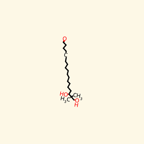 CC(C)(CO)C(O)CCCCCCCCCCCCCCCC=O